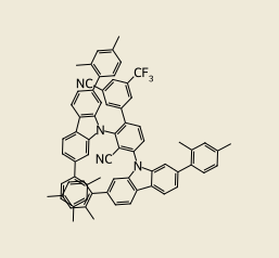 Cc1ccc(-c2ccc3c4ccc(-c5ccc(C)cc5C)cc4n(-c4ccc(-c5cc(C#N)cc(C(F)(F)F)c5)c(-n5c6cc(-c7ccc(C)cc7C)ccc6c6ccc(-c7ccc(C)cc7C)cc65)c4C#N)c3c2)c(C)c1